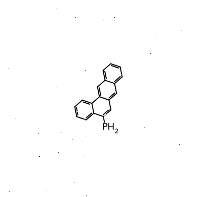 Pc1cc2cc3ccccc3cc2c2ccccc12